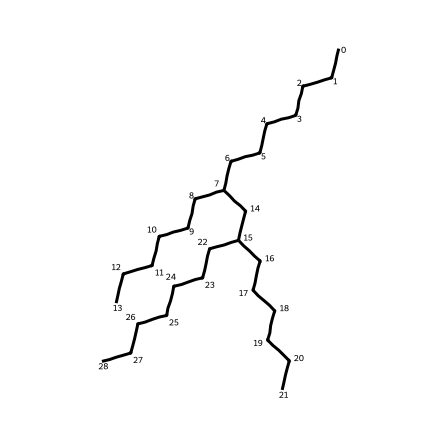 CCCCCCCC(CCCCCC)CC(CCCCCC)CCCCCCC